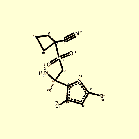 C[C@](N)(CS(=O)(=O)C1(C#N)CCC1)c1sc(Br)cc1Cl